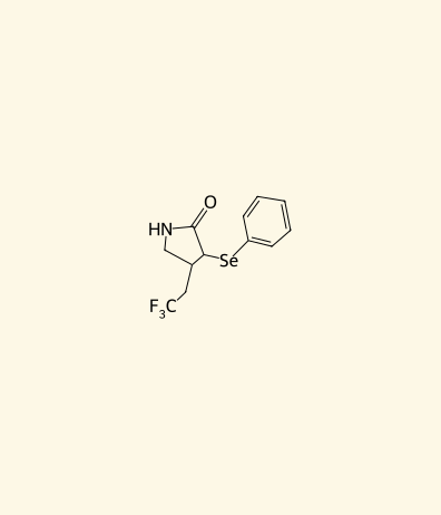 O=C1NCC(CC(F)(F)F)C1[Se]c1ccccc1